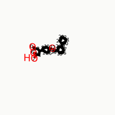 O=CCC(CC(=O)O)c1ccc(OCc2cccc(-c3ccccc3)c2)cc1